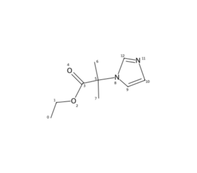 CCOC(=O)C(C)(C)n1ccnc1